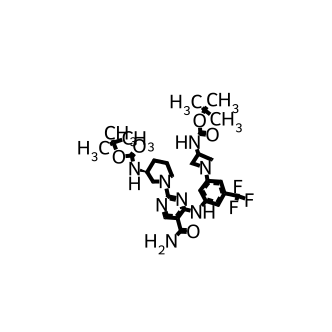 CC(C)(C)OC(=O)NC1CN(c2cc(Nc3nc(N4CCC[C@H](NC(=O)OC(C)(C)C)C4)ncc3C(N)=O)cc(C(F)(F)F)c2)C1